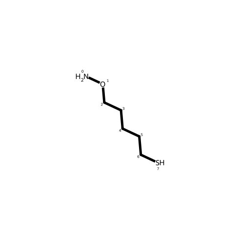 NOCCCCCS